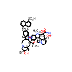 CC[C@]1(O)C[C@H]2C[N@](CCc3c([nH]c4ccccc34)[C@@](C(=O)OC)(c3cc4c(cc3OC)N(C)[C@H]3[C@@](O)(C(N)=O)[C@H](O)[C@]5(CC)C=CCN6CC[C@]43[C@@H]65)C2)C1.O=S(=O)(O)c1cccc2c(S(=O)(=O)O)cccc12